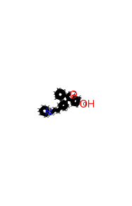 Oc1ccc2c(c1)OC[C@H](c1ccccc1)[C@@H]2c1ccc(CCCN2CCCCC2)cc1